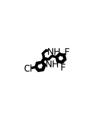 Fc1cc(F)cc(C2NCCc3c2[nH]c2ccc(Cl)cc32)c1